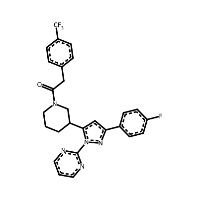 O=C(Cc1ccc(C(F)(F)F)cc1)N1CCCC(c2cc(-c3ccc(F)cc3)nn2-c2ncccn2)C1